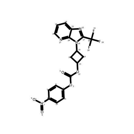 O=C(Oc1ccc([N+](=O)[O-])cc1)OC1CC(n2c(C(F)(F)F)nc3cccnc32)C1